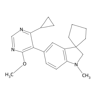 COc1ncnc(C2CC2)c1-c1ccc2c(c1)C1(CCCC1)CN2C